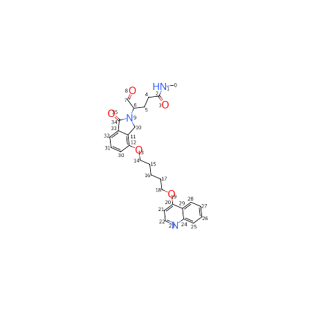 CNC(=O)CCC(C=O)N1Cc2c(OCCCCCOc3ccnc4ccccc34)cccc2C1=O